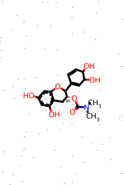 CN(C)C(=O)O[C@@H]1Cc2c(O)cc(O)cc2OC1C1=CC(O)C(O)C=C1